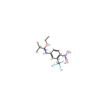 CCO/C(=N\c1ccc([N+](=O)[O-])c(C(F)(F)F)c1)C(C)C